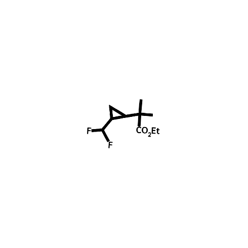 CCOC(=O)C(C)(C)C1CC1C(F)F